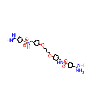 N=C(N)c1ccc(S(=O)(=O)NCc2ccc(OCCCCOc3ccc(CNS(=O)(=O)c4ccc(C(=N)N)cc4)cc3)cc2)cc1